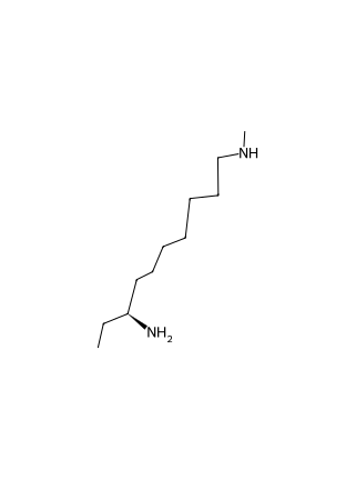 CC[C@H](N)CCCCCCCNC